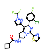 O=C(N[C@H]1CC2=C(c3ccn(C(F)F)n3)[C@H](c3ccc(F)cc3Cl)N=C(c3nccs3)N2C1)C1CCC1